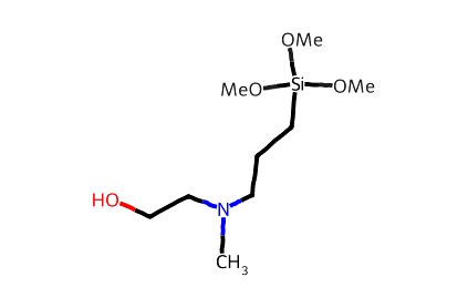 CO[Si](CCCN(C)CCO)(OC)OC